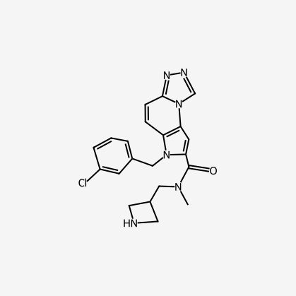 CN(CC1CNC1)C(=O)c1cc2c(ccc3nncn32)n1Cc1cccc(Cl)c1